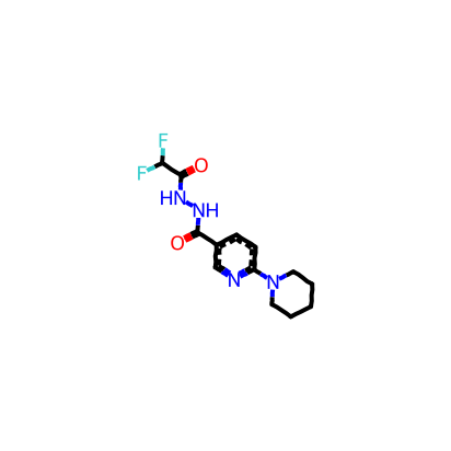 O=C(NNC(=O)C(F)F)c1ccc(N2CCCCC2)nc1